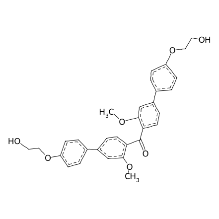 COc1cc(-c2ccc(OCCO)cc2)ccc1C(=O)c1ccc(-c2ccc(OCCO)cc2)cc1OC